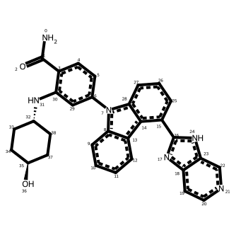 NC(=O)c1ccc(-n2c3ccccc3c3c(-c4nc5ccncc5[nH]4)cccc32)cc1N[C@H]1CC[C@H](O)CC1